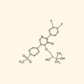 CC(C)(O)C(O)COc1c(-c2ccc(S(C)(=O)=O)cc2)cnn(-c2ccc(F)c(F)c2)c1=O